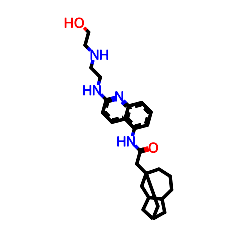 O=C(CC12CCCC3CC(CC3C1)C2)Nc1cccc2nc(NCCNCCO)ccc12